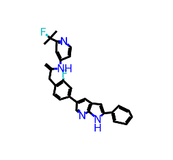 C=C(Cc1ccc(-c2cnc3[nH]c(-c4ccccc4)cc3c2)cc1F)Nc1ccnc(C(C)(C)F)c1